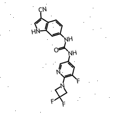 N#Cc1c[nH]c2cc(NC(=O)Nc3cnc(N4CC(F)(F)C4)c(F)c3)ccc12